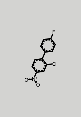 O=[N+]([O-])c1ccc(-c2ccc(F)cc2)c(Cl)c1